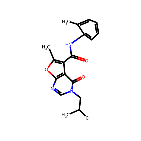 Cc1ccccc1NC(=O)c1c(C)oc2ncn(CC(C)C)c(=O)c12